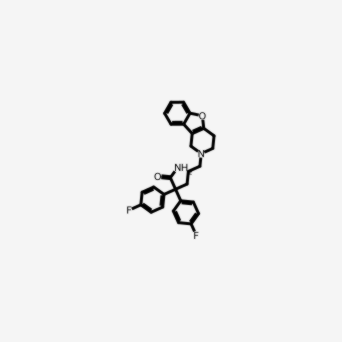 NC(=O)C(CCCN1CCc2oc3ccccc3c2C1)(c1ccc(F)cc1)c1ccc(F)cc1